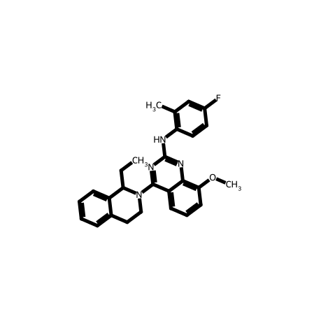 CCC1c2ccccc2CCN1c1nc(Nc2ccc(F)cc2C)nc2c(OC)cccc12